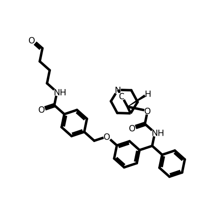 O=CCCCNC(=O)c1ccc(COc2cccc(C(NC(=O)O[C@H]3CN4CCC3CC4)c3ccccc3)c2)cc1